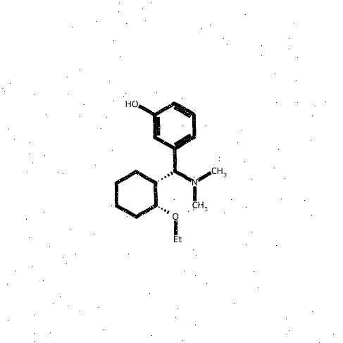 CCO[C@@H]1CCCC[C@@H]1C(c1cccc(O)c1)N(C)C